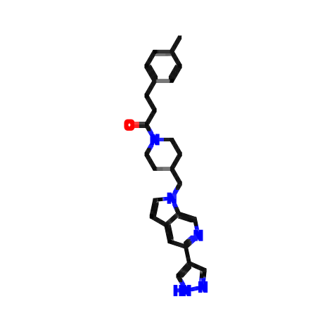 Cc1ccc(CCC(=O)N2CCC(Cn3ccc4cc(-c5cn[nH]c5)ncc43)CC2)cc1